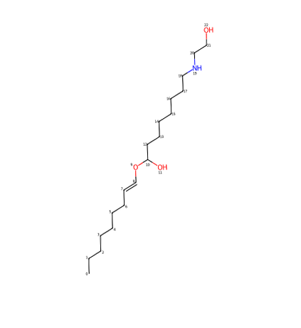 CCCCCCC/C=C/OC(O)CCCCCCCNCCO